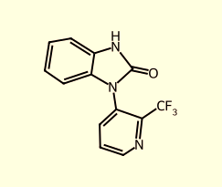 O=c1[nH]c2ccccc2n1-c1cccnc1C(F)(F)F